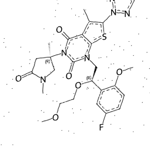 COCCO[C@@H](Cn1c(=O)n([C@]2(C)CC(=O)N(C)C2)c(=O)c2c(C)c(-n3nccn3)sc21)c1cc(F)ccc1OC